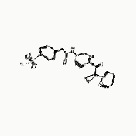 CCS(=O)(=O)c1ccc(CC(=O)Nc2ccc(C(=O)C3(c4ccccn4)CC3)nc2)cc1